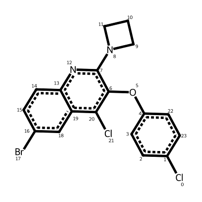 Clc1ccc(Oc2c(N3CCC3)nc3ccc(Br)cc3c2Cl)cc1